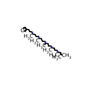 CC(C)=C/C(C)=C/CC/C(C)=C/CC/C(C)=C/CC/C(C)=C/CC/C(C)=C/CCc1ccoc1